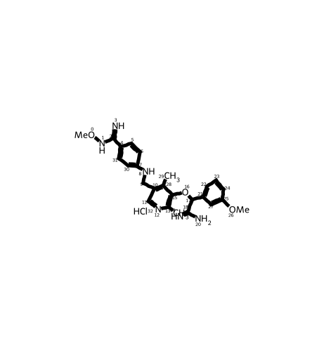 CONC(=N)c1ccc(NCc2cnc(C)c(OC(C(=N)N)c3cccc(OC)c3)c2C)cc1.Cl